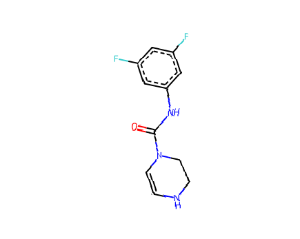 O=C(Nc1cc(F)cc(F)c1)N1C=[C]NCC1